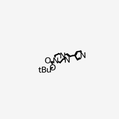 CC(C)(C)OC(=O)N1CCn2cc(-c3ccncc3)nc2C1